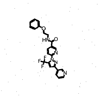 O=C(NCCOc1ccccc1)c1ccc(-n2nc(-c3cccnc3)cc2C(F)(F)F)nc1